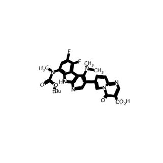 CN(C)c1c(-c2ccc3ncc(C(=O)O)c(=O)n3c2)cnc2[nH]c3c(N(C)C(=O)OC(C)(C)C)cc(F)c(F)c3c12